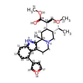 CC[C@@H]1CN2CCc3c([nH]c4cccc(-c5ccoc5)c34)[C@@H]2C[C@@H]1/C(=C\OC)C(=O)OC